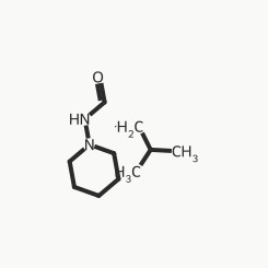 O=CNN1CCCCC1.[CH2]C(C)C